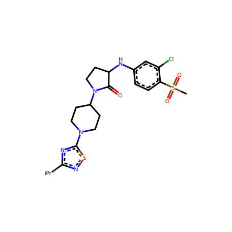 CC(C)c1nsc(N2CCC(N3CCC(Nc4ccc(S(C)(=O)=O)c(Cl)c4)C3=O)CC2)n1